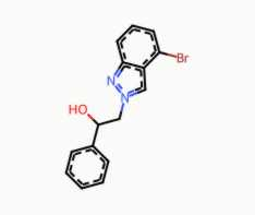 OC(Cn1cc2c(Br)cccc2n1)c1ccccc1